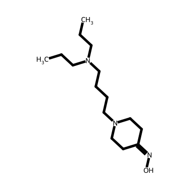 CCCN(CCC)CCCCN1CCC(=NO)CC1